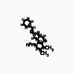 CCCN1C=C(C)C(C)C2=C1N1CN(OCN3CCCCC3)C=C1C=N2